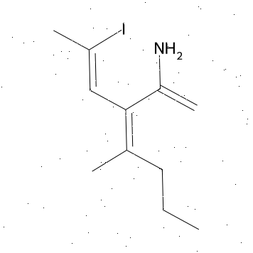 C=C(N)C(/C=C(/C)I)=C(/C)CCC